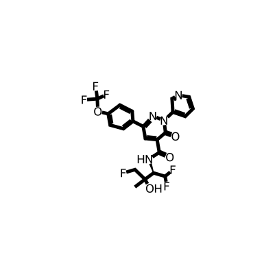 CC(O)(CF)[C@@H](NC(=O)c1cc(-c2ccc(OC(F)(F)F)cc2)nn(-c2cccnc2)c1=O)C(F)F